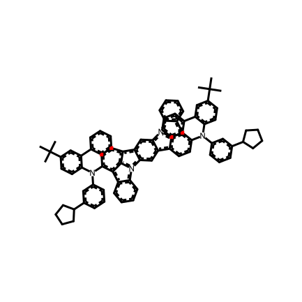 CC(C)(C)c1ccc(N(c2cccc(C3CCCC3)c2)c2ccc3c4cc5c(cc4n4c6ccccc6c2c34)c2ccc(N(c3cccc(C4CCCC4)c3)c3ccc(C(C)(C)C)cc3-c3ccccc3)c3c4ccccc4n5c23)c(-c2ccccc2)c1